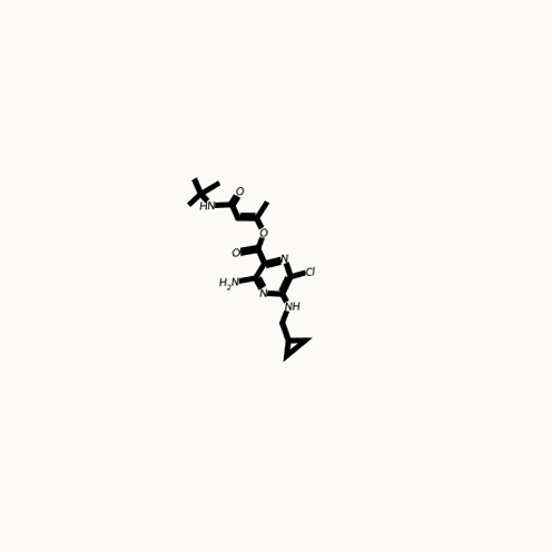 CC(=CC(=O)NC(C)(C)C)OC(=O)c1nc(Cl)c(NCC2CC2)nc1N